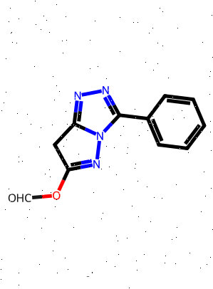 O=COC1=Nn2c(nnc2-c2ccccc2)C1